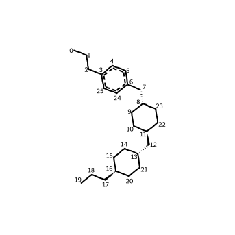 CCCc1ccc(C[C@H]2CC[C@H](C[C@H]3CC[C@H](CCC)CC3)CC2)cc1